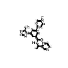 CC(C)c1nnnn1-c1cc(C(=O)NC(C)c2cnccn2)cc(-c2ccc(Cl)cn2)c1